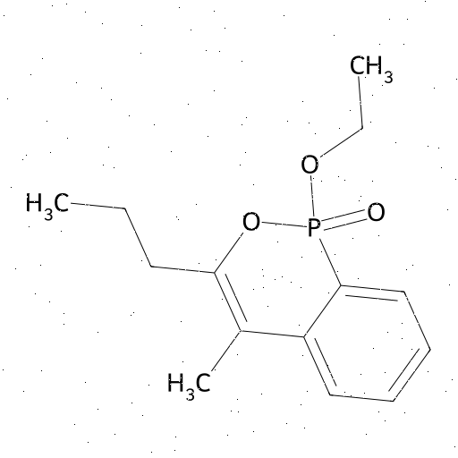 CCCC1=C(C)c2ccccc2P(=O)(OCC)O1